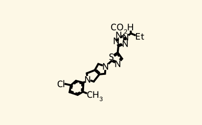 CCC(C(=O)O)n1nnc(-c2cnc(N3CC4=C(C3)CN(c3cc(Cl)ccc3C)C4)s2)n1